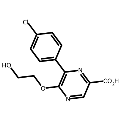 O=C(O)c1cnc(OCCO)c(-c2ccc(Cl)cc2)n1